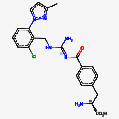 Cc1ccn(-c2cccc(Cl)c2CN/C(N)=N/C(=O)c2ccc(C[C@H](N)C(=O)O)cc2)n1